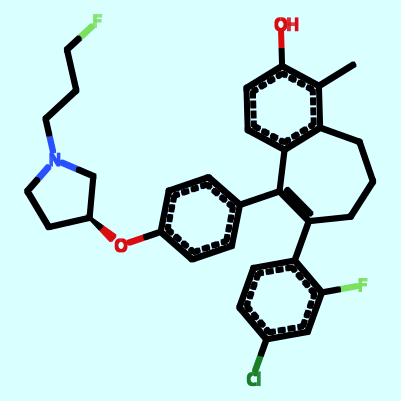 Cc1c(O)ccc2c1CCCC(c1ccc(Cl)cc1F)=C2c1ccc(O[C@H]2CCN(CCCF)C2)cc1